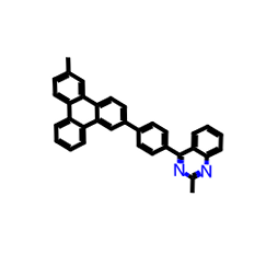 Cc1ccc2c3ccccc3c3cc(-c4ccc(-c5nc(C)nc6ccccc56)cc4)ccc3c2c1